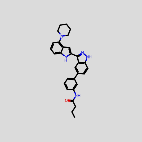 CCCC(=O)Nc1cccc(-c2ccc3[nH]nc(-c4cc5c(N6CCCCC6)cccc5[nH]4)c3c2)c1